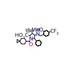 COc1cc(C(F)(F)F)ccc1CNC1C(c2ccccc2)N(C(=O)C2CCC3(CC2)CC3)C(C(=O)O)C1C(C)(C)C